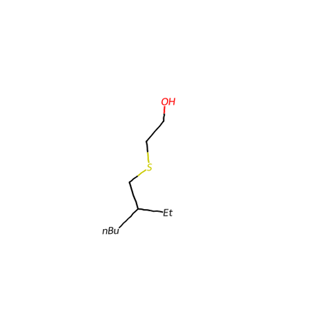 CCCCC(CC)CSCCO